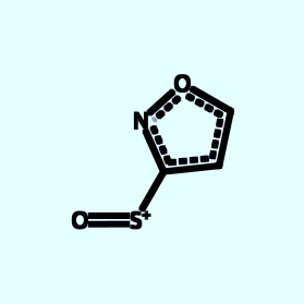 O=[S+]c1ccon1